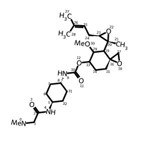 CNCC(=O)N[C@H]1CC[C@H](NC(=O)OC2CC[C@]3(CO3)C([C@@]3(C)O[C@@H]3CC=C(C)C)C2OC)CC1